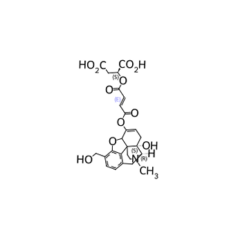 CN1CCC23c4c5ccc(CO)c4OC2C(OC(=O)/C=C/C(=O)O[C@@H](CC(=O)O)C(=O)O)=CC[C@@]3(O)[C@H]1C5